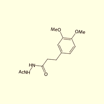 COc1ccc(CCC(=O)NNC(C)=O)cc1OC